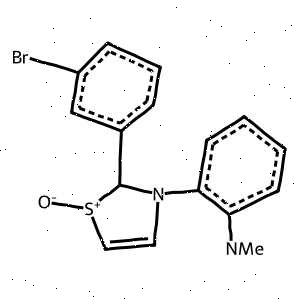 CNc1ccccc1N1C=C[S+]([O-])C1c1cccc(Br)c1